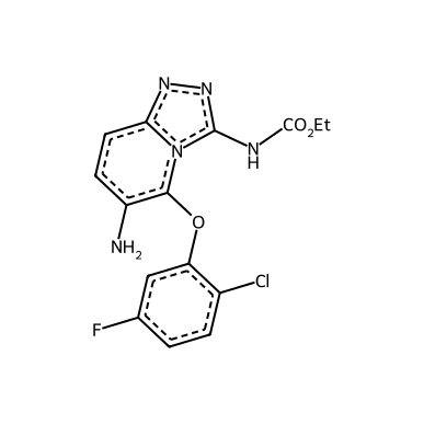 CCOC(=O)Nc1nnc2ccc(N)c(Oc3cc(F)ccc3Cl)n12